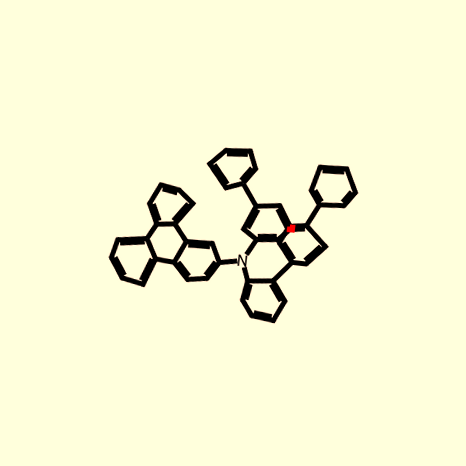 c1ccc(-c2ccc(-c3ccccc3N(c3cccc(-c4ccccc4)c3)c3ccc4c5ccccc5c5ccccc5c4c3)cc2)cc1